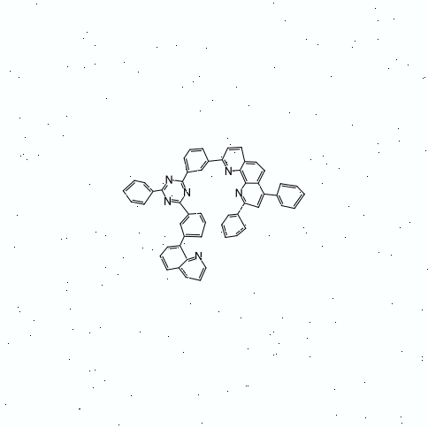 c1ccc(-c2cc(-c3ccccc3)c3ccc4ccc(-c5cccc(-c6nc(-c7ccccc7)nc(-c7cccc(-c8cccc9cccnc89)c7)n6)c5)nc4c3n2)cc1